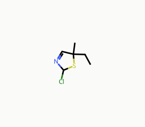 CCC1(C)C=NC(Cl)S1